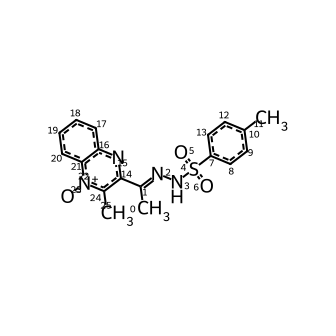 CC(=NNS(=O)(=O)c1ccc(C)cc1)c1nc2ccccc2[n+]([O-])c1C